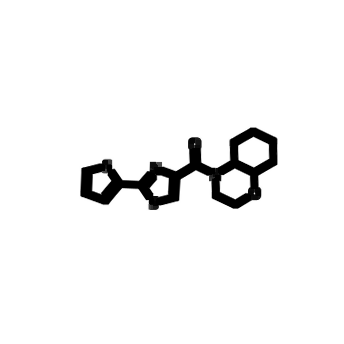 O=C(c1csc(-c2cccs2)n1)N1CCOC2CCCCC21